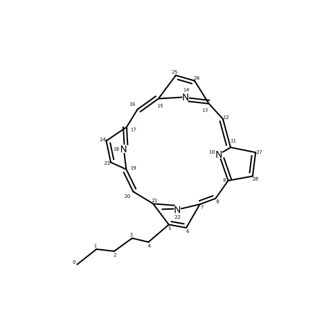 CCCCCC1=CC2=CC3=NC(=CC4=NC(=CC5=NC(=CC1=N2)C=C5)C=C4)C=C3